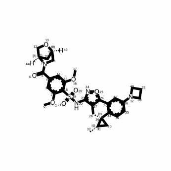 COc1cc(C(=O)N2C[C@H]3C[C@@H]2CO3)cc(OC)c1S(=O)(=O)Nc1noc2c1C[C@@]1(C[C@@H]1C)c1ccc(N3CCC3)cc1-2